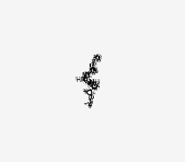 CN(C)CCOc1cc(F)cc(-c2ccnc3[nH]c(-c4n[nH]c5ncc(-c6cncc(OCCN7CCCC7)c6)cc45)nc23)c1